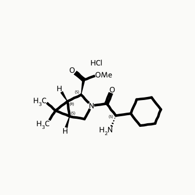 COC(=O)[C@@H]1[C@@H]2[C@H](CN1C(=O)[C@@H](N)C1CCCCC1)C2(C)C.Cl